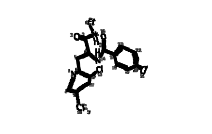 CCNC(=O)C(Cc1ncc(C(F)(F)F)cc1Cl)NC(=O)c1ccc(Cl)cc1